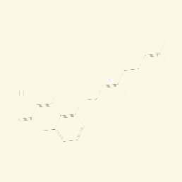 CC(C)=CCC/C(C)=C/COc1cccc2oc(=O)c(O)c(O)c12